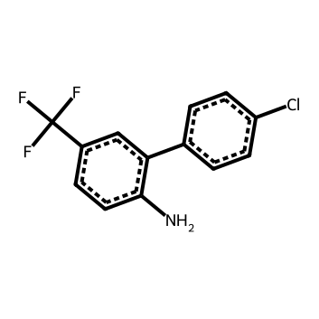 Nc1ccc(C(F)(F)F)cc1-c1ccc(Cl)cc1